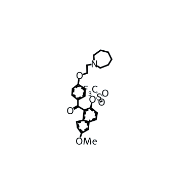 COc1ccc2c(C(=O)c3ccc(OCCN4CCCCCC4)cc3)c(OS(=O)(=O)C(F)(F)F)ccc2c1